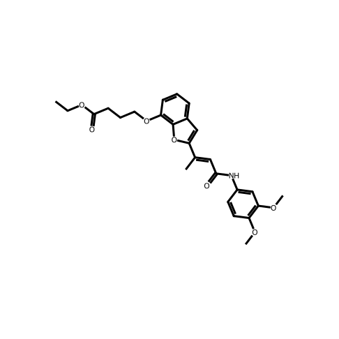 CCOC(=O)CCCOc1cccc2cc(C(C)=CC(=O)Nc3ccc(OC)c(OC)c3)oc12